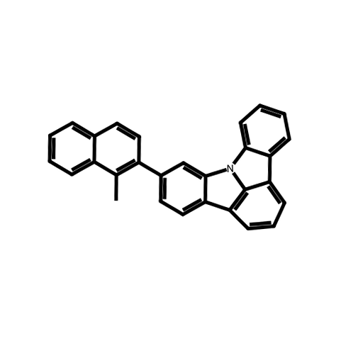 Cc1c(-c2ccc3c4cccc5c6ccccc6n(c3c2)c54)ccc2ccccc12